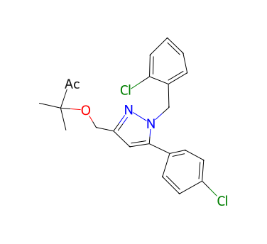 CC(=O)C(C)(C)OCc1cc(-c2ccc(Cl)cc2)n(Cc2ccccc2Cl)n1